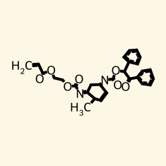 C=CC(=O)OCCOC(=O)N=C1CC(=NC(=O)OC(C(=O)c2ccccc2)c2ccccc2)C=CC1C